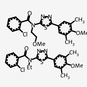 CCN(C(=O)c1ccccc1Cl)c1nnc(-c2cc(C)c(OC)c(C)c2)s1.COCCN(C(=O)c1ccccc1Cl)c1nnc(-c2cc(C)c(OC)c(C)c2)s1